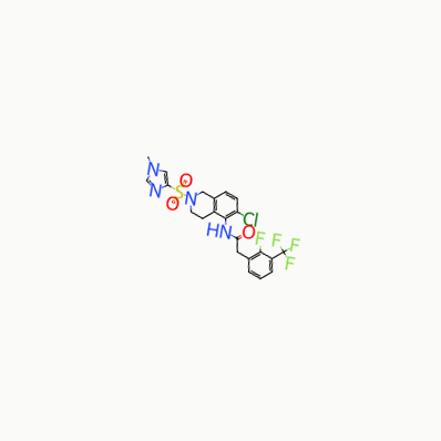 Cn1cnc(S(=O)(=O)N2CCc3c(ccc(Cl)c3NC(=O)Cc3cccc(C(F)(F)F)c3F)C2)c1